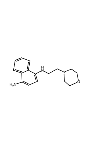 Nc1ccc(NCCN2CCOCC2)c2ccccc12